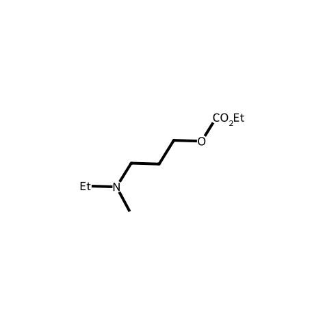 CCOC(=O)OCCCN(C)CC